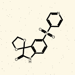 O=C1Nc2ccc(S(=O)(=O)c3ccncc3)cc2C12OCCO2